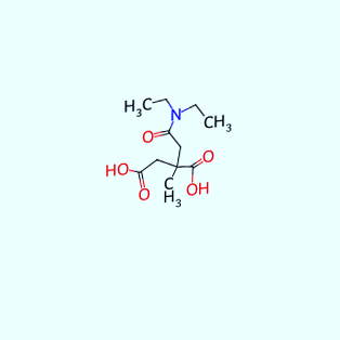 CCN(CC)C(=O)CC(C)(CC(=O)O)C(=O)O